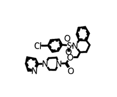 O=C(OCC1CCc2ccccc2N1S(=O)(=O)c1ccc(Cl)cc1)N1CCN(c2ccccn2)CC1